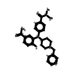 CC(C)N(C(=O)c1ccc(N(c2cc(C(N)=O)ccc2F)C2CCN(Cc3cccnc3)CC2)cc1)C(C)C